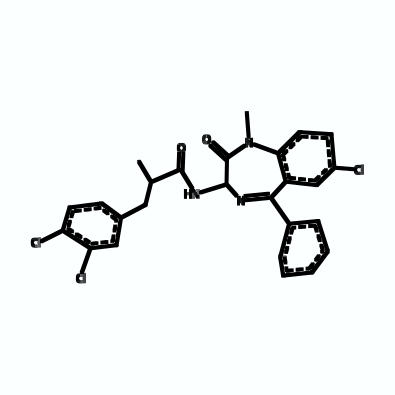 CC(Cc1ccc(Cl)c(Cl)c1)C(=O)NC1N=C(c2ccccc2)c2cc(Cl)ccc2N(C)C1=O